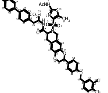 CC(=O)Nc1nc(S(=O)(=O)N2Cc3cc4c(cc3CC2C(=O)NC(Cc2ccc(-c3ccc(C#N)cc3)cc2)C(=O)O)OCC(c2ccc(OCc3ccc(Cl)c(Cl)c3)cc2)O4)c(C)s1